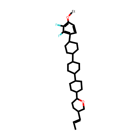 C/C=C/C1CCC(C2CCC(C3CCC(C4CCC(c5ccc(OCC)c(F)c5F)CC4)CC3)CC2)OC1